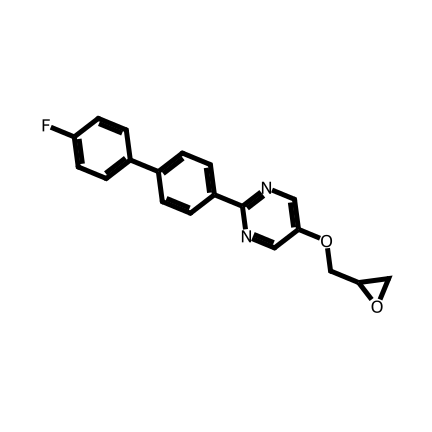 Fc1ccc(-c2ccc(-c3ncc(OCC4CO4)cn3)cc2)cc1